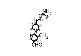 Cc1cc(C=O)cnc1N1CCC(CCOC(N)=O)CC1